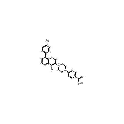 COC(=O)c1ccc(N2CCN(c3cnc4c(-c5ccc(C#N)cc5)cccc4c3Br)CC2)nc1